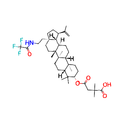 C=C(C)[C@@H]1CC[C@]2(CCNC(=O)C(F)(F)F)CC[C@]3(C)[C@H](CC[C@@H]4[C@@]5(C)CC[C@H](OC(=O)CC(C)(C)C(=O)O)C(C)(C)[C@@H]5CC[C@]43C)[C@@H]12